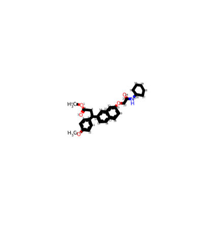 COC(=O)CC(c1ccc(OC)cc1)c1ccc2ccc(OCC(=O)NC3CCCCC3)cc2c1